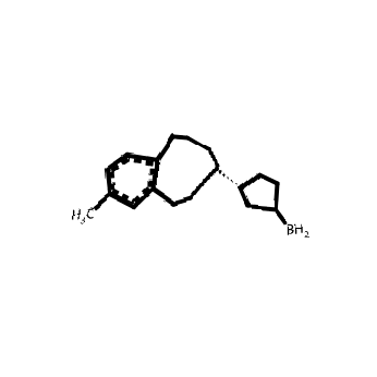 BC1CC[C@@H](C2CCCc3ccc(C)cc3CC2)C1